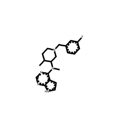 CC1CCN(Cc2cccc(F)c2)CC1N(C)c1ncnc2[nH]ccc12